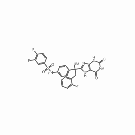 CCC(C)C(Cc1ccccc1F)(c1ccc(NS(=O)(=O)c2ccc(F)c(F)c2)cc1)c1nc2[nH]c(=O)[nH]c(=O)c2[nH]1